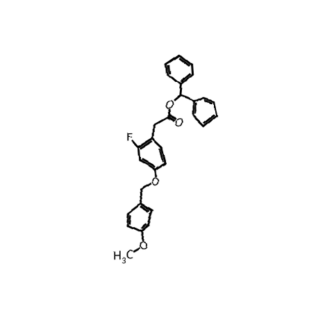 COc1ccc(COc2ccc(CC(=O)OC(c3ccccc3)c3ccccc3)c(F)c2)cc1